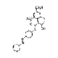 O=[SH](=O)c1cc(S(=O)(=O)O)cc2ccc(O)c(/N=N/c3ccc(/N=N/c4ccccc4)cc3)c12